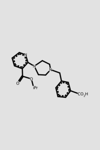 CC(C)OC(=O)c1cccnc1N1CCN(Cc2cccc(C(=O)O)c2)CC1